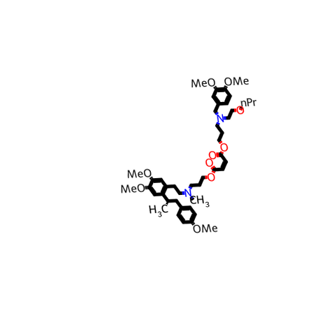 CCCOCCN(CCCOC(=O)/C=C\C(=O)OCCCN(C)CCc1cc(OC)c(OC)cc1[C@H](C)Cc1ccc(OC)cc1)Cc1ccc(OC)c(OC)c1